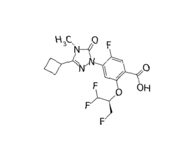 Cn1c(C2CCC2)nn(-c2cc(O[C@@H](CF)C(F)F)c(C(=O)O)cc2F)c1=O